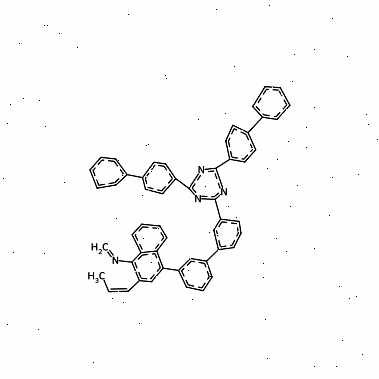 C=Nc1c(/C=C\C)cc(-c2cccc(-c3cccc(-c4nc(-c5ccc(-c6ccccc6)cc5)nc(-c5ccc(-c6ccccc6)cc5)n4)c3)c2)c2ccccc12